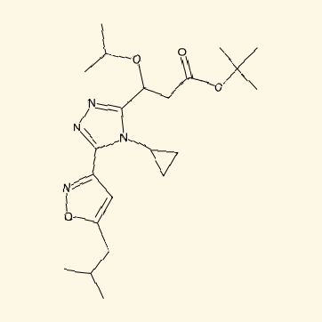 CC(C)Cc1cc(-c2nnc(C(CC(=O)OC(C)(C)C)OC(C)C)n2C2CC2)no1